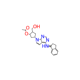 CC(=O)OC1CC(n2ccc3c(N[C@H]4CCc5ccccc54)ncnc32)CC1CO